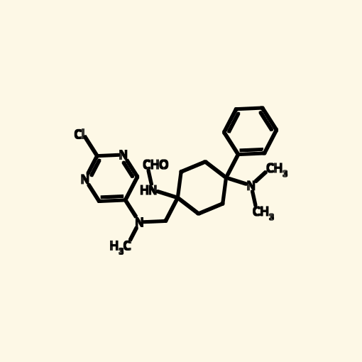 CN(CC1(NC=O)CCC(c2ccccc2)(N(C)C)CC1)c1cnc(Cl)nc1